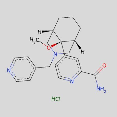 CO[C@]1(c2ccnc(C(N)=O)c2)[C@@H]2CCC[C@H]1CN(Cc1ccncc1)C2.Cl